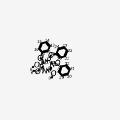 COP1N=P(OC)(OC)N(Oc2ccccc2)P(Oc2ccccc2)N1Oc1ccccc1